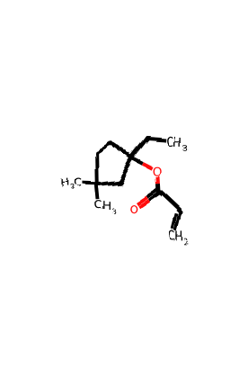 C=CC(=O)OC1(CC)CCC(C)(C)C1